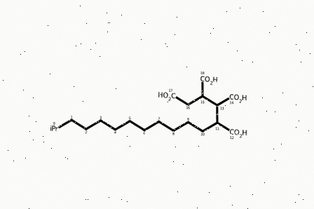 CC(C)CCCCCCCCCCC(C(=O)O)C(C(=O)O)C(CC(=O)O)C(=O)O